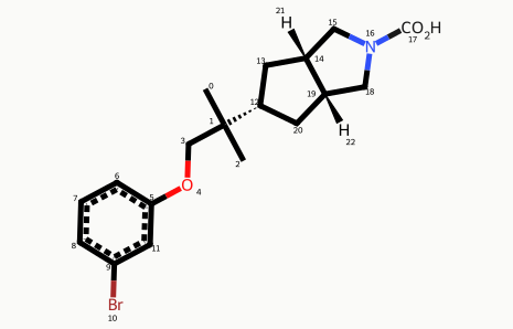 CC(C)(COc1cccc(Br)c1)[C@@H]1C[C@@H]2CN(C(=O)O)C[C@@H]2C1